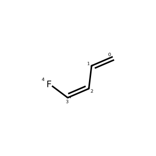 C=C/C=[C]\F